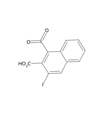 O=C(O)c1c(I)cc2ccccc2c1I(=O)=O